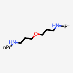 CCCNCCCOCCCNC(C)C